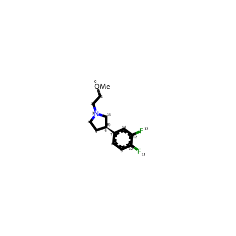 COCCN1CC[C@H](c2ccc(F)c(F)c2)C1